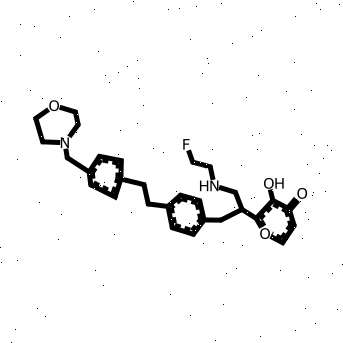 O=c1ccoc(C(CNCCF)Cc2ccc(CCc3ccc(CN4CCOCC4)cc3)cc2)c1O